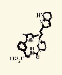 Cc1cc(C)n(-c2cccc([C@H](CNC(=O)[C@@H]3CCCN(CCCc4ccc5c(n4)NCCC5)C3)C(=O)O)c2)n1